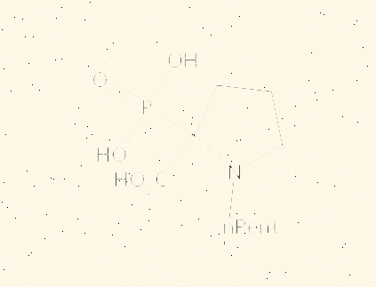 CCCCCN1CCCC1(C(=O)O)P(=O)(O)O